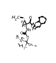 C=C[C@H]1C[C@@]1(NC(=O)OC(C)(C)C)C(=O)n1ncc2ccccc21